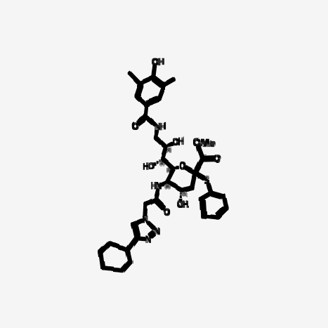 COC(=O)C1(Sc2ccccc2)C[C@H](O)[C@@H](NC(=O)Cn2cc(C3CCCCC3)nn2)[C@H]([C@H](O)[C@H](O)CNC(=O)c2cc(C)c(O)c(C)c2)O1